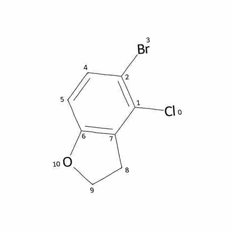 Clc1c(Br)ccc2c1CCO2